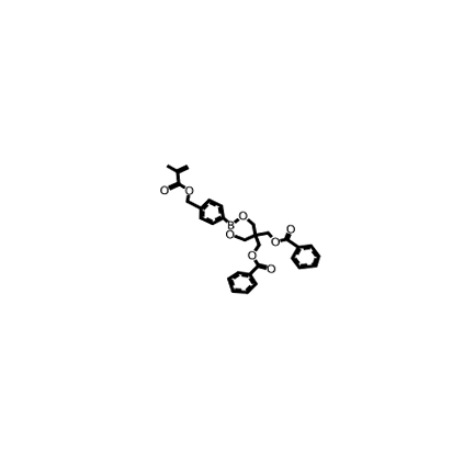 C=C(C)C(=O)OCc1ccc(B2OCC(COC(=O)c3ccccc3)(COC(=O)c3ccccc3)CO2)cc1